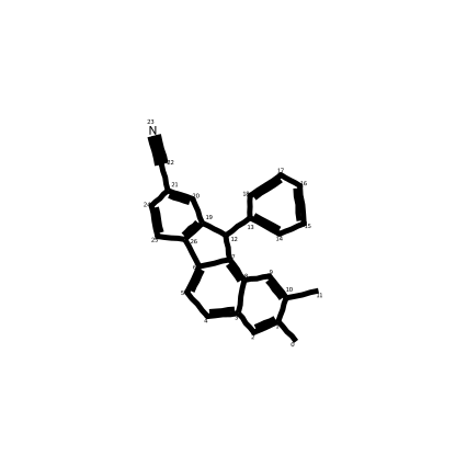 Cc1cc2ccc3c(c2cc1C)C(c1ccccc1)c1cc(C#N)ccc1-3